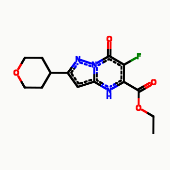 CCOC(=O)c1[nH]c2cc(C3CCOCC3)nn2c(=O)c1F